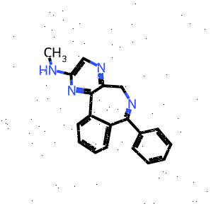 CNc1cnc2c(n1)-c1ccccc1C(c1ccccc1)=NC2